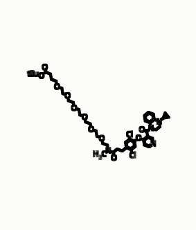 CN(CCOCCOCCOCCOCCOCCOCCCC(=O)OC(C)(C)C)C(=O)CCc1cc(Cl)c(Oc2ccncc2C(=O)N2CCN(C3CC3)c3ccccc32)cc1Cl